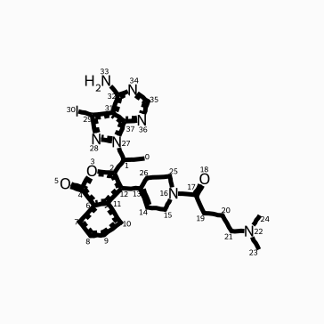 CC(c1oc(=O)c2ccccc2c1C1=CCN(C(=O)CCCN(C)C)CC1)n1nc(I)c2c(N)ncnc21